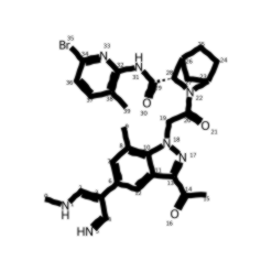 CN/C=C(\C=N)c1cc(C)c2c(c1)c(C(C)=O)nn2CC(=O)N1C2CCC(C2)[C@H]1C(=O)Nc1nc(Br)ccc1C